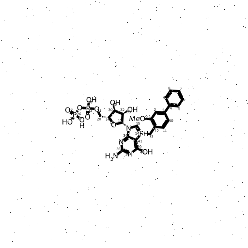 COc1cc(-c2ccccc2)ccc1C[PH]1=CN([C@@H]2O[C@H](COP(=O)(O)OP(=O)(O)O)[C@@H](O)[C@H]2O)c2nc(N)nc(O)c21